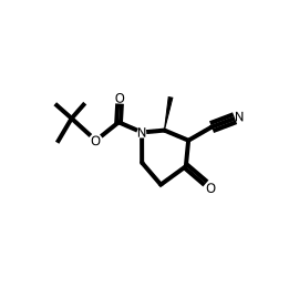 C[C@H]1C(C#N)C(=O)CCN1C(=O)OC(C)(C)C